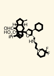 CC(C)C1=CC2CC3(C=O)[C@@H]4CC[C@@H](C)[C@H]4CC2([C@H]2C[C@@H](C4CCCCC4)[C@H](CNCCN4CCCC(F)(F)C4)O2)[C@]13C(=O)O